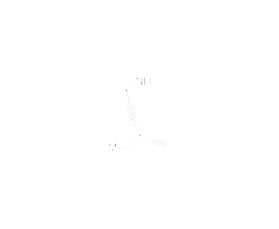 [C]#CC(C#CCN)OC